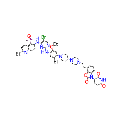 CCOc1cc(N2CCC(N3CCN(CCc4cccc5c4oc(=O)n5C4CCC(=O)NC4=O)CC3)CC2)c(CC)cc1Nc1ncc(Br)c(Nc2ccc3nc(CC)ccc3c2P(C)(C)=O)n1